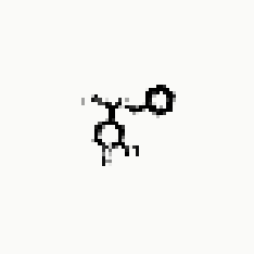 CCCC(OCc1ccccc1)C1C[CH]NC(Cl)C1